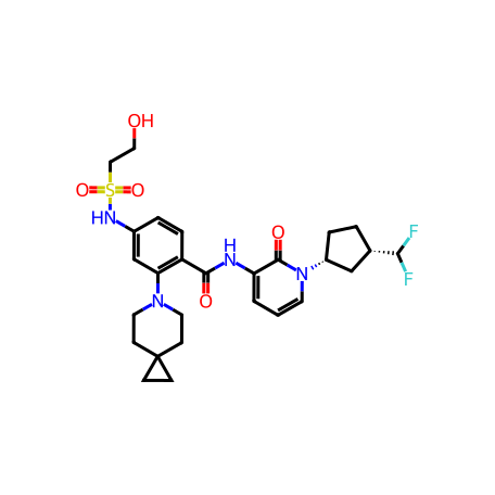 O=C(Nc1cccn([C@@H]2CC[C@H](C(F)F)C2)c1=O)c1ccc(NS(=O)(=O)CCO)cc1N1CCC2(CC1)CC2